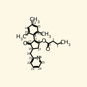 CCCC(=O)OC1=C(c2c(C)cc(C)cc2C)C(=O)C(Cc2ccccn2)C1